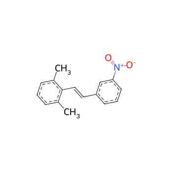 Cc1cccc(C)c1C=Cc1cccc([N+](=O)[O-])c1